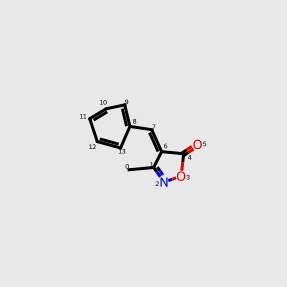 CC1=NOC(=O)C1=Cc1ccccc1